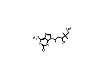 CC(C)(CO)C(O)C[C@@H](I)n1cnc2c(N)nc(Cl)nc21